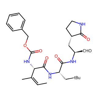 C/C=C(/C)[C@H](NC(=O)OCc1ccccc1)C(=O)N[C@@H](CC(C)(C)C)C(=O)N[C@H](C=O)C[C@@H]1CCNC1=O